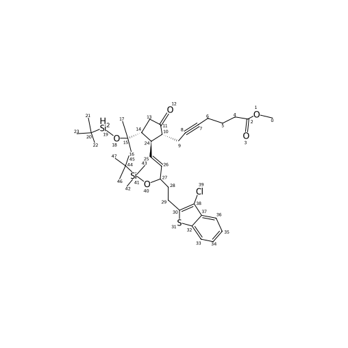 COC(=O)CCCC#CC[C@H]1C(=O)C[C@@H](C(C)(C)O[SiH2]C(C)(C)C)[C@@H]1C=CC(CCc1sc2ccccc2c1Cl)O[Si](C)(C)C(C)(C)C